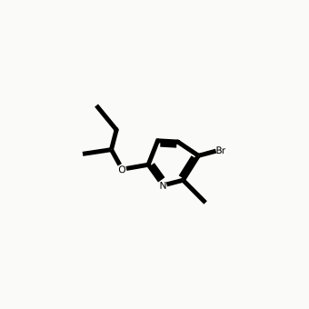 CCC(C)Oc1ccc(Br)c(C)n1